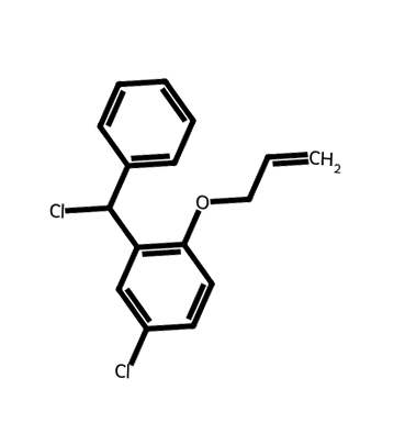 C=CCOc1ccc(Cl)cc1C(Cl)c1ccccc1